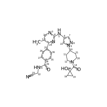 Cc1cnc(Nc2cnn(C3CCN(C(=O)C4(O)CC4)CC3)c2)nc1-c1ccc(C(=O)NCC#N)cc1